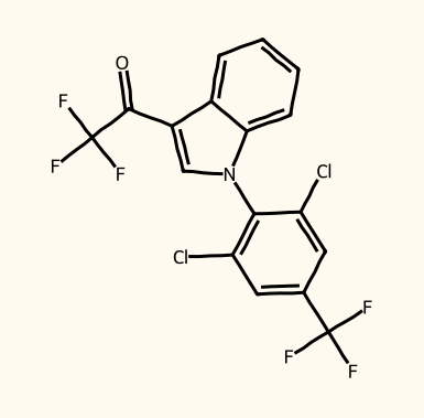 O=C(c1cn(-c2c(Cl)cc(C(F)(F)F)cc2Cl)c2ccccc12)C(F)(F)F